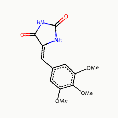 COc1cc(/C=C2\NC(=O)NC2=O)cc(OC)c1OC